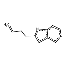 C=CCCn1cc2cnccc2n1